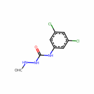 O=CNNC(=O)Nc1cc(Cl)cc(Cl)c1